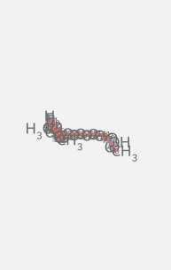 CCOC(=O)/C(O)=C/C(=O)c1ccc(COCCOCCOCCOCCOCCOCCN(c2cc3oc(-c4ccc(F)cc4)c(C(=O)NC)c3cc2C2CC2)S(C)(=O)=O)cc1